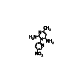 CC1=CC(N)N(c2ccc([N+](=O)[O-])cn2)C(N)=N1